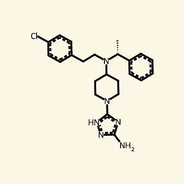 C[C@H](c1ccccc1)N(CCc1ccc(Cl)cc1)C1CCN(c2nc(N)n[nH]2)CC1